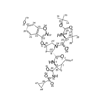 C=CC1C[C@]1(NC(=O)[C@@H]1C[C@@H](Oc2noc3cc(OC)ccc23)CN1C(=O)[C@@H](NC(=O)OC(C)(C)C)C(C)(C)C)C(=O)NS(=O)(=O)C1CC1